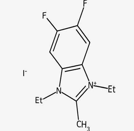 CCn1c(C)[n+](CC)c2cc(F)c(F)cc21.[I-]